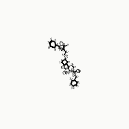 Cc1oc(-c2ccccc2)nc1CCOc1cccc(C2=C(C(=O)O)CN(C(=O)OCc3ccccc3)CC2)c1